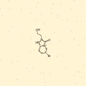 O=c1n(CCO)[nH]c2ccc(Br)c[n+]12